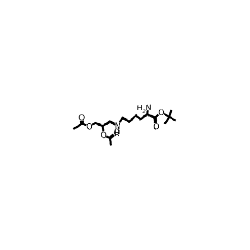 CC(=O)OCC(CNCCCCC(N)C(=O)OC(C)(C)C)OC(C)=O